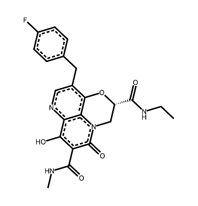 CCNC(=O)[C@@H]1Cn2c(=O)c(C(=O)NC)c(O)c3ncc(Cc4ccc(F)cc4)c(c32)O1